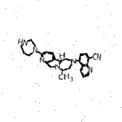 C[C@@H]1CN(c2ccc(C#N)c3ncccc23)C[C@@H]2c3ccc(N4CCCNCC4)nc3CN12